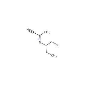 CCC(CCl)/N=C(\C)C#N